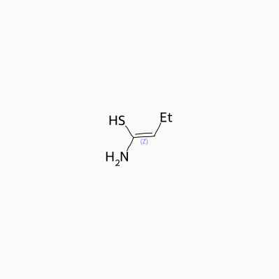 CC/C=C(/N)S